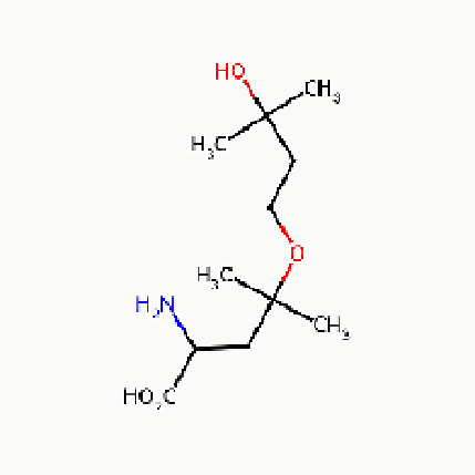 CC(C)(O)CCOC(C)(C)CC(N)C(=O)O